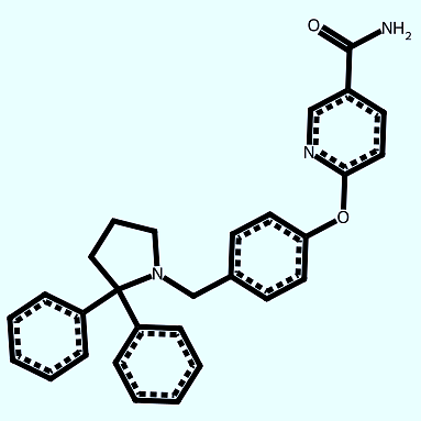 NC(=O)c1ccc(Oc2ccc(CN3CCCC3(c3ccccc3)c3ccccc3)cc2)nc1